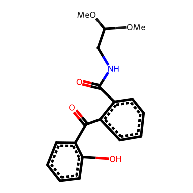 COC(CNC(=O)c1ccccc1C(=O)c1ccccc1O)OC